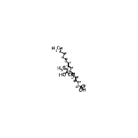 CCC(O)O.CCCCCCCCC=CCCCCCCCC(=O)O